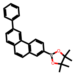 CC1(C)OB(c2ccc3c(ccc4ccc(-c5ccccc5)cc43)c2)OC1(C)C